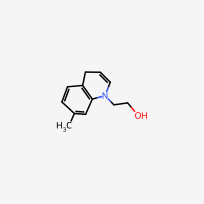 Cc1ccc2c(c1)N(CCO)C=CC2